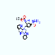 CC(C)(C)OC(=O)NCc1cc(C(=O)NN)ccc1CN(Cc1nc2ccccc2[nH]1)C1CCCc2cccnc21